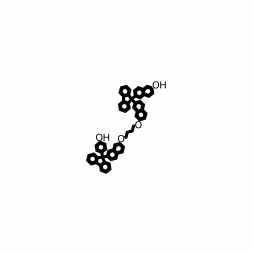 Oc1ccc(C2(c3ccc4ccc(OCCCCOc5ccc6ccc(C7(c8ccc9cc(O)ccc9c8)c8ccccc8-c8ccccc87)cc6c5)cc4c3)c3ccccc3-c3ccccc32)cc1